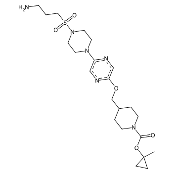 CC1(OC(=O)N2CCC(COc3cnc(N4CCN(S(=O)(=O)CCCN)CC4)cn3)CC2)CC1